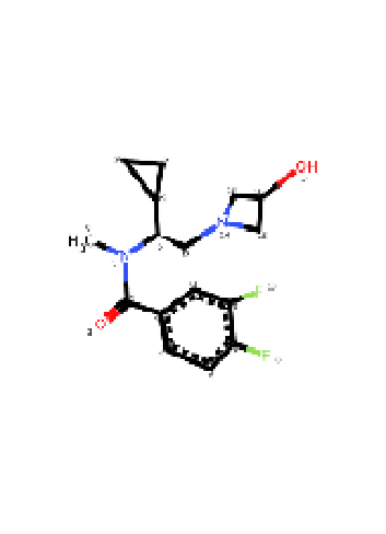 CN(C(=O)c1ccc(F)c(F)c1)[C@H](CN1CC(O)C1)C1CC1